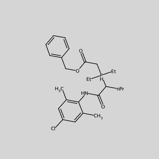 CCCC(C(=O)Nc1c(C)cc(Cl)cc1C)[PH](CC)(CC)CC(=O)OCc1ccccc1